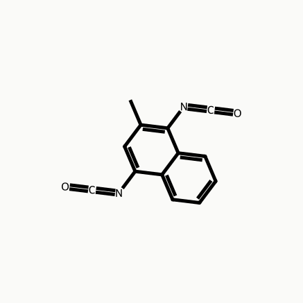 Cc1cc(N=C=O)c2ccccc2c1N=C=O